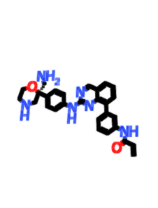 C=CC(=O)Nc1cccc(-c2cccc3cnc(Nc4ccc([C@@]5(CN)CNCCO5)cc4)nc23)c1